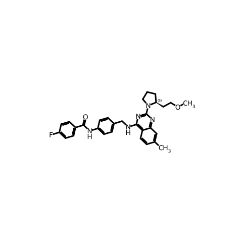 COCC[C@@H]1CCCN1c1nc(NCc2ccc(NC(=O)c3ccc(F)cc3)cc2)c2ccc(C)cc2n1